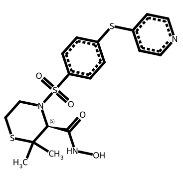 CC1(C)SCCN(S(=O)(=O)c2ccc(Sc3ccncc3)cc2)[C@H]1C(=O)NO